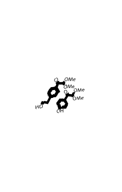 COC(OC)C(=O)c1ccc(CCO)cc1.COC(OC)C(=O)c1ccc(O)cc1